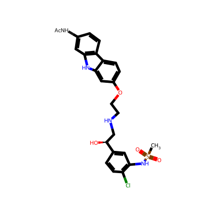 CC(=O)Nc1ccc2c(c1)[nH]c1cc(OCCNC[C@H](O)c3ccc(Cl)c(NS(C)(=O)=O)c3)ccc12